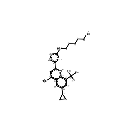 Nc1cc(-c2nnc(NCCCCCO)s2)nc2c(C(F)(F)F)cc(C3CC3)cc12